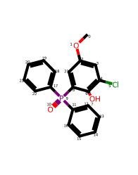 COc1cc(Cl)c(O)c(P(=O)(c2ccccc2)c2ccccc2)c1